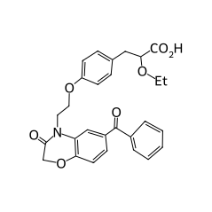 CCOC(Cc1ccc(OCCN2C(=O)COc3ccc(C(=O)c4ccccc4)cc32)cc1)C(=O)O